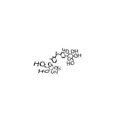 Cc1cc(C2CC2c2ccc(C3OC(CO)C(O)C(O)C3O)cc2)ccc1[C@H]1O[C@H](CO)[C@@H](O)[C@H](O)[C@@H]1O